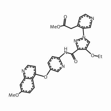 CCOc1cn(-c2cnccc2CC(=O)OC)nc1C(=O)Nc1ccc(Oc2ccnc3cc(OC)ccc23)cn1